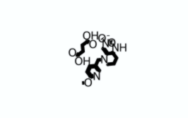 COc1ccc(CN2CCCC(=N)C2=C[N+](=O)[O-])cn1.O=C(O)CCC(=O)O